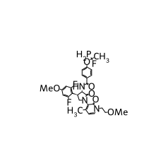 COCCn1ccc(C)c(N2C[C@@H](c3c(F)cc(OC)cc3F)[C@H](NC(=O)c3ccc(OC(C)(F)P)cc3)C2=O)c1=O